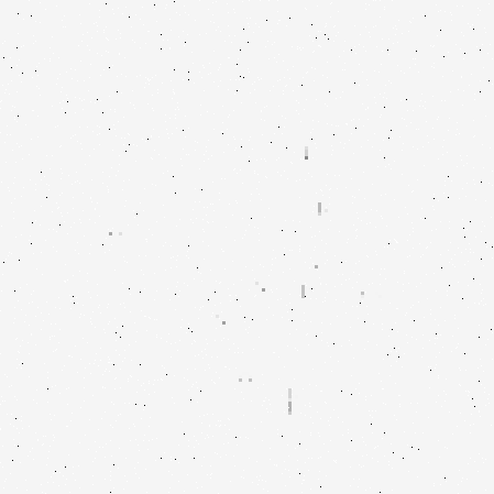 Cc1ccc(N2CCC(CC#N)(n3nc(Nc4ccc(S(C)(=O)=O)cc4)c4c(=O)[nH]ccc43)CC2)nc1